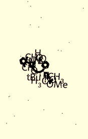 COC(=O)N(C)[C@]1(C)C[C@H](C2c3cccc(c3)S(=O)(=O)Nc3nc(cc(-c4c(C)cccc4C)n3)OC[C@H]2CC(C)(C)C)C1